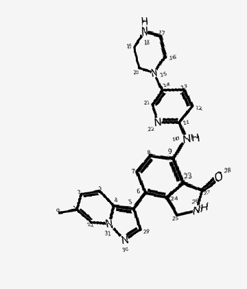 Cc1ccc2c(-c3ccc(Nc4ccc(N5CCNCC5)cn4)c4c3CNC4=O)cnn2c1